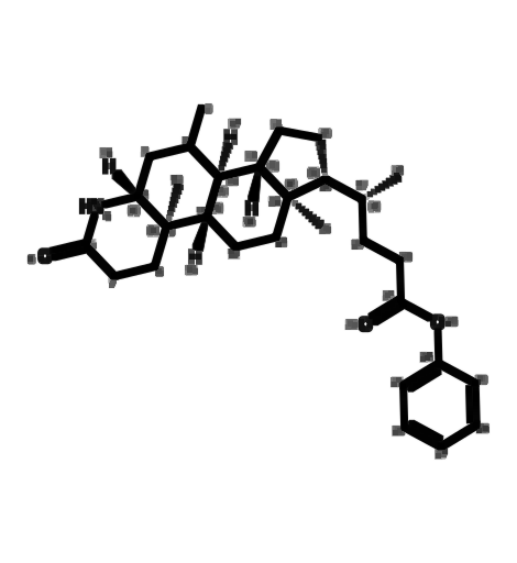 CC1C[C@H]2NC(=O)CC[C@]2(C)[C@H]2CC[C@]3(C)[C@@H]([C@H](C)CCC(=O)Oc4ccccc4)CC[C@H]3[C@H]12